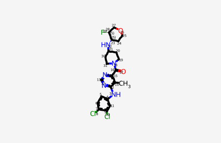 Cc1c(Nc2ccc(Cl)c(Cl)c2)ncnc1C(=O)N1CCC(N[C@H]2CCOC[C@H]2F)CC1